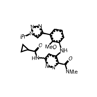 CNC(=O)c1nnc(NC(=O)C2CC2)cc1Nc1cccc(-c2cn(C(C)C)nn2)c1OC